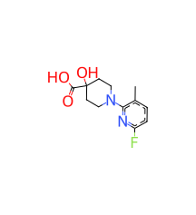 Cc1ccc(F)nc1N1CCC(O)(C(=O)O)CC1